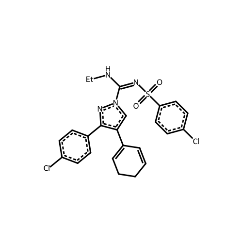 CCNC(=NS(=O)(=O)c1ccc(Cl)cc1)n1cc(C2=CCCC=C2)c(-c2ccc(Cl)cc2)n1